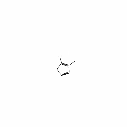 CC1=[C]([Zr+2])CC=C1.[I-].[I-]